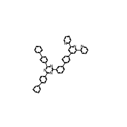 c1ccc(-c2ccc(-c3nc(-c4ccc(-c5ccccc5)cc4)nc(-c4cccc(-c5ccc(-c6cc(-c7ccccn7)nc(-c7ccccn7)c6)cc5)c4)n3)cc2)cc1